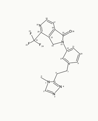 Cn1cnnc1CCc1cccc(N2Cc3c(ccnc3C(F)(F)F)C2=O)c1